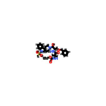 CC(C)(C)OC(=O)NC(C)(C)C(=O)NC(COCc1ccccc1)C(=O)N1CCC2(CC1)CN(S(C)(=O)=O)c1ccccc12